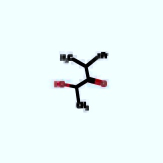 CCCC(C)C(=O)C(C)O